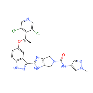 C[C@@H](Oc1ccc2[nH]nc(-c3nc4c([nH]3)CN(C(=O)Nc3cnn(C)c3)C4)c2c1)c1c(Cl)cncc1Cl